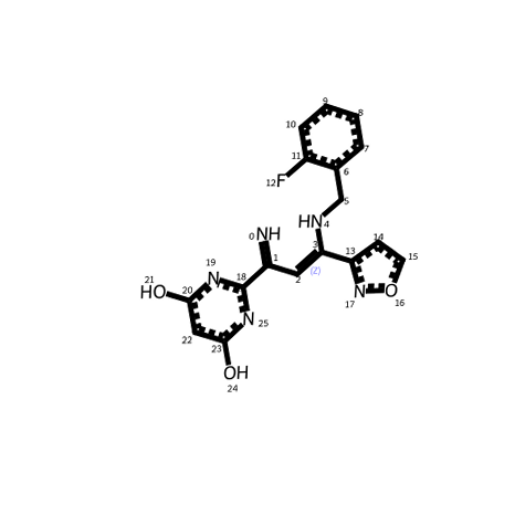 N=C(/C=C(\NCc1ccccc1F)c1ccon1)c1nc(O)cc(O)n1